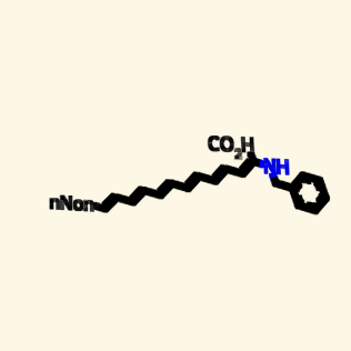 CCCCCCCCCC=CC=CC=CC=CC=CC=C(NCc1ccccc1)C(=O)O